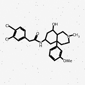 COc1cccc(C23CCN(C)CC2C(O)CC(NC(=O)Cc2ccc(Cl)c(Cl)c2)C3)c1